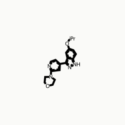 CC(C)Oc1ccc2[nH]nc(-c3ccnc(N4CCOCC4)c3)c2c1